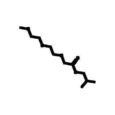 COCCOCCOCC(=O)OCC(C)C